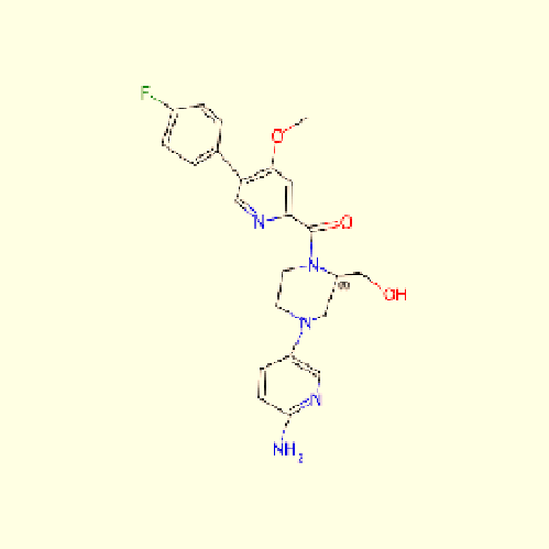 COc1cc(C(=O)N2CCN(c3ccc(N)nc3)C[C@@H]2CO)ncc1-c1ccc(F)cc1